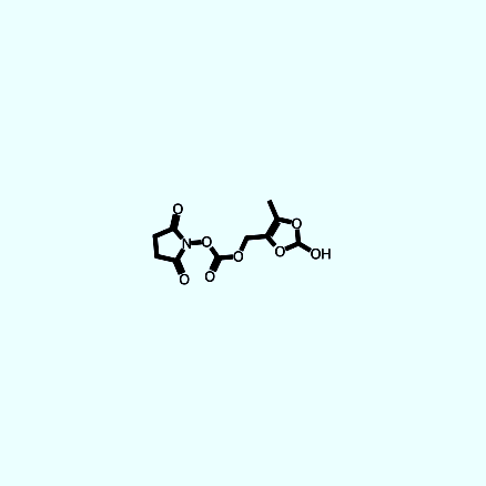 CC1=C(COC(=O)ON2C(=O)CCC2=O)OC(O)O1